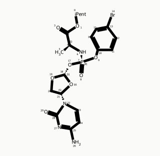 CCCC(C)OC(=O)[C@H](C)N[P@@](=O)(Oc1ccc(Br)cc1)O[C@H]1OC[C@@H](n2ccc(N)nc2=O)O1